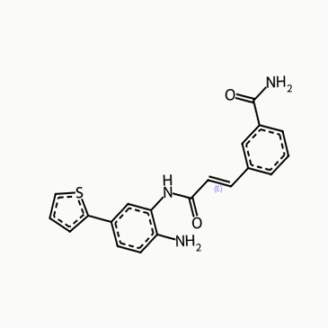 NC(=O)c1cccc(/C=C/C(=O)Nc2cc(-c3cccs3)ccc2N)c1